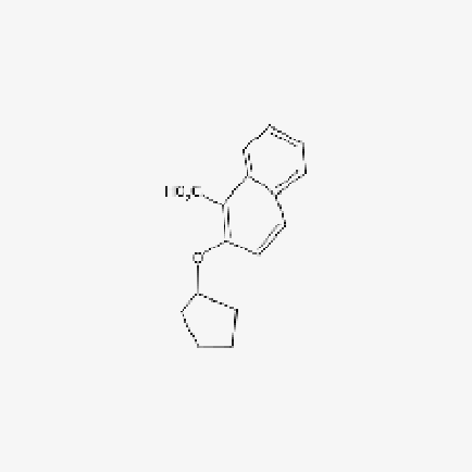 O=C(O)c1c(OC2CCCC2)ccc2ccccc12